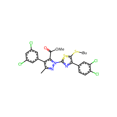 CCC(C)Sc1sc(-n2nc(C)c(-c3cc(Cl)cc(Cl)c3)c2C(=O)OC)nc1-c1ccc(Cl)c(Cl)c1